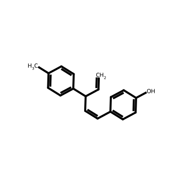 C=CC(/C=C\c1ccc(O)cc1)c1ccc(C)cc1